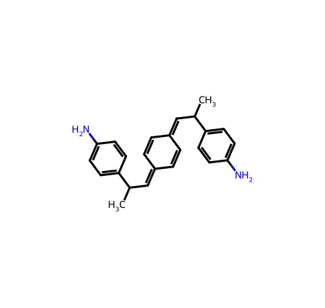 CC(C=c1ccc(=CC(C)c2ccc(N)cc2)cc1)c1ccc(N)cc1